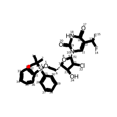 CC(C)(C)[Si](OC[C@@H]1O[C@H](n2cc(C(F)F)c(=O)[nH]c2=O)C(Cl)C1O)(c1ccccc1)c1ccccc1